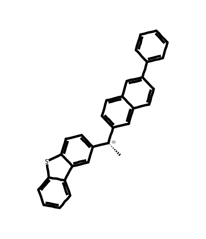 C[C@@H](c1ccc2cc(-c3ccccc3)ccc2c1)c1ccc2sc3ccccc3c2c1